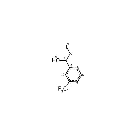 OC(CI)c1cccc(C(F)(F)F)c1